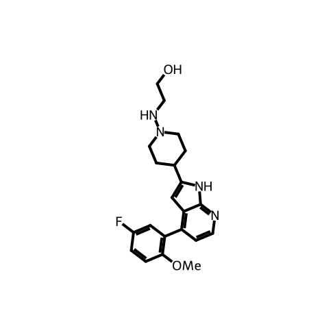 COc1ccc(F)cc1-c1ccnc2[nH]c(C3CCN(NCCO)CC3)cc12